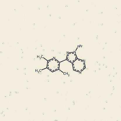 CCCn1nc(-c2nc(C)c(C)cc2C)c2cncnc21